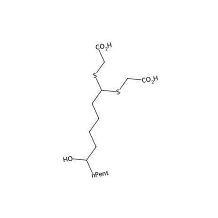 CCCCCC(O)CCCCC(SCC(=O)O)SCC(=O)O